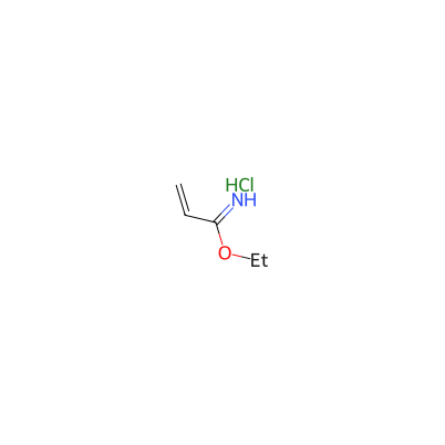 C=CC(=N)OCC.Cl